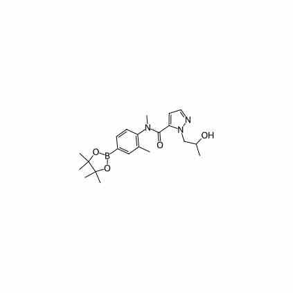 Cc1cc(B2OC(C)(C)C(C)(C)O2)ccc1N(C)C(=O)c1ccnn1CC(C)O